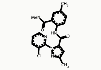 CNC(=O)c1cc(C)ccc1NC(=O)c1cc(C)nn1-c1ncccc1Cl